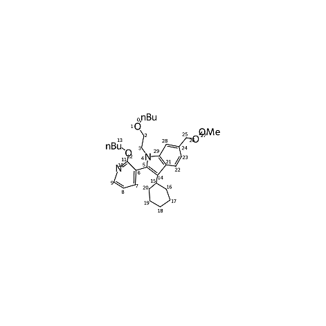 CCCCOCCn1c(-c2cccnc2OCCCC)c(C2CCCCC2)c2ccc(COOC)cc21